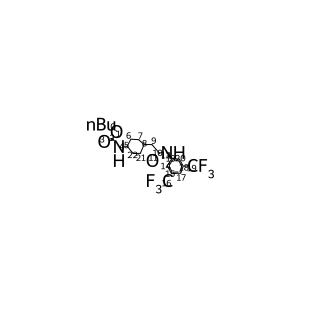 CCCCOC(=O)NC1CCC(CC(=O)Nc2cc(C(F)(F)F)cc(C(F)(F)F)c2)CC1